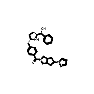 O=C(c1ccc(C[C@@H]2CC[C@H]([C@H](O)c3ccccc3)N2)cc1)N1CC2CC(n3cccn3)CC2C1